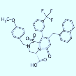 COc1ccc(CN2C[C@@H](C(=O)O)n3c(c(-c4cccc(C(F)(F)F)c4)c(Cc4cccc5ccccc45)cc3=O)S2(=O)=O)cc1